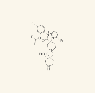 CCOC(=O)C1(CN2CCC(C(=O)Nc3ccc(Cl)cc3OC(F)F)(n3nccc3C(C)C)CC2)CCNCC1